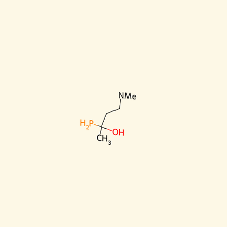 CNCCC(C)(O)P